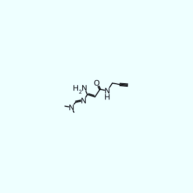 C#CCNC(=O)/C=C(N)/N=C/N(C)C